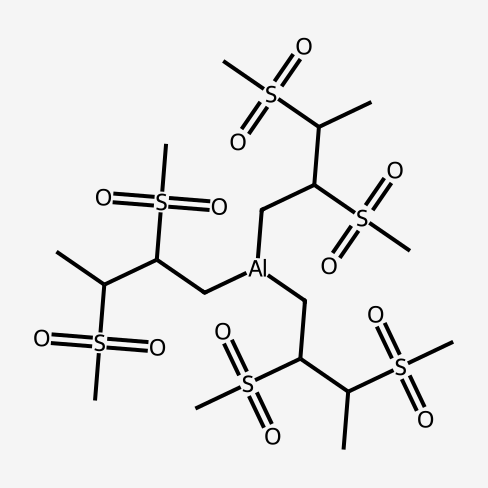 CC(C([CH2][Al]([CH2]C(C(C)S(C)(=O)=O)S(C)(=O)=O)[CH2]C(C(C)S(C)(=O)=O)S(C)(=O)=O)S(C)(=O)=O)S(C)(=O)=O